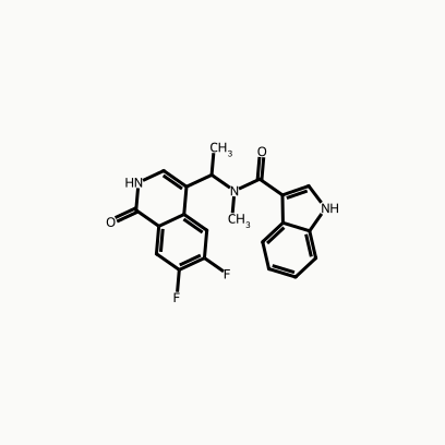 CC(c1c[nH]c(=O)c2cc(F)c(F)cc12)N(C)C(=O)c1c[nH]c2ccccc12